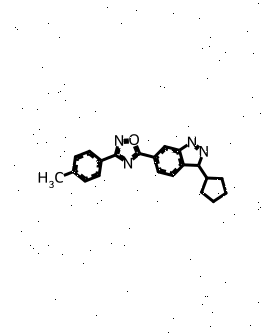 Cc1ccc(-c2noc(-c3ccc4c(c3)N=NC4C3CCCC3)n2)cc1